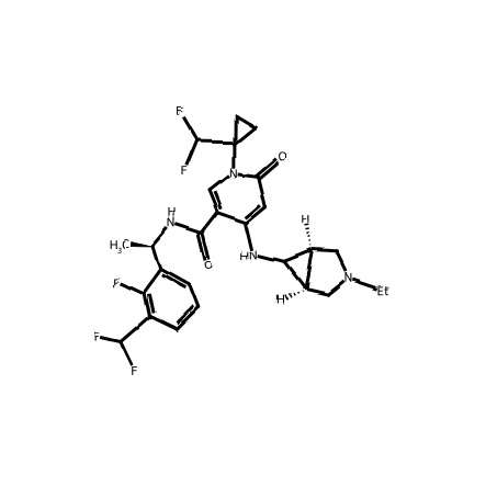 CCN1C[C@@H]2C(Nc3cc(=O)n(C4(C(F)F)CC4)cc3C(=O)N[C@H](C)c3cccc(C(F)F)c3F)[C@@H]2C1